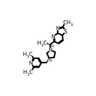 CC1=NC2N=C([C@H](C)N3CC[C@@H](Cc4cc(C)nc(C)c4)C3)C=CC2S1